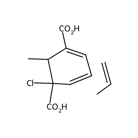 C=CC.CC1C(C(=O)O)=CC=CC1(Cl)C(=O)O